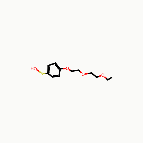 CCOCCOCCOc1ccc(SO)cc1